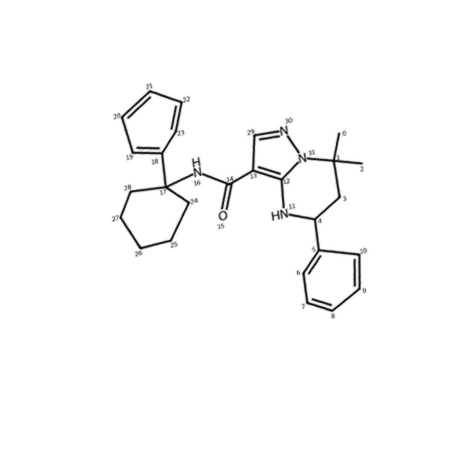 CC1(C)CC(c2ccccc2)Nc2c(C(=O)NC3(c4ccccc4)CCCCC3)cnn21